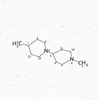 CC1CCN(C2CCN(C)CC2)CC1